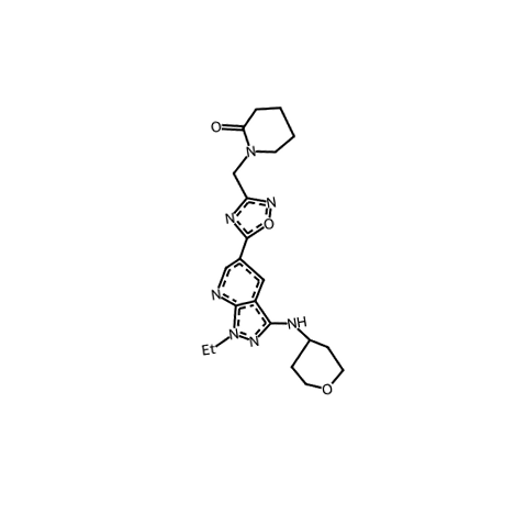 CCn1nc(NC2CCOCC2)c2cc(-c3nc(CN4CCCCC4=O)no3)cnc21